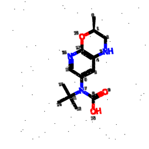 C[C@H]1CNc2cc(N(C(=O)O)C(C)(C)C)cnc2O1